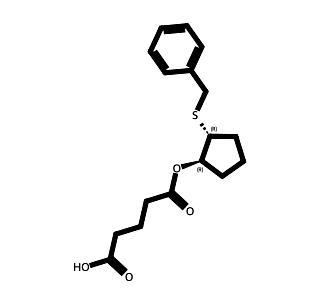 O=C(O)CCCC(=O)O[C@@H]1CCC[C@H]1SCc1ccccc1